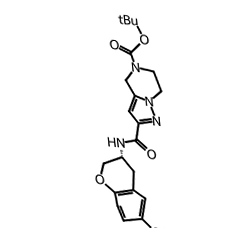 CC(C)(C)OC(=O)N1CCn2nc(C(=O)N[C@H]3COc4ccc(C#N)cc4C3)cc2C1